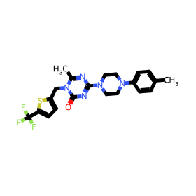 Cc1ccc(N2CCN(c3nc(C)n(Cc4ccc(C(F)(F)F)s4)c(=O)n3)CC2)cc1